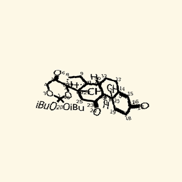 CC(C)COC1(OCC(C)C)OCC(=O)[C@]2(CC[C@H]3[C@@H]4CCC5=CC(=O)C=C[C@]5(C)[C@H]4C(=O)C[C@@]32C)O1